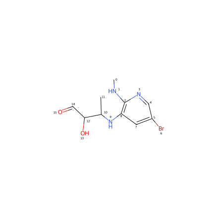 CNc1ncc(Br)cc1NC(C)C(O)C=O